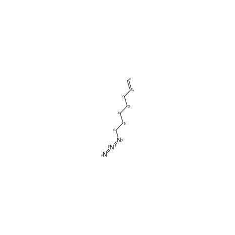 C=CCCCCCN=[N+]=[N-]